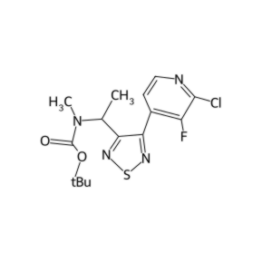 CC(c1nsnc1-c1ccnc(Cl)c1F)N(C)C(=O)OC(C)(C)C